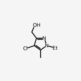 CCn1nc(CO)c(Cl)c1C